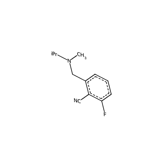 CC(C)N(C)Cc1cccc(F)c1C#N